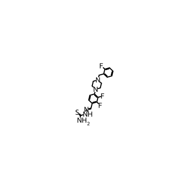 NC(=S)NN=Cc1ccc(N2CCN(Cc3ccccc3F)CC2)c(F)c1F